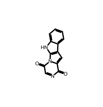 O=C1N=CC(=O)n2c1cc1c3ccccc3[nH]c12